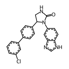 O=C1NCC(c2ccc(-c3cccc(Cl)c3)cc2)N1c1ccc2[nH]cnc2c1